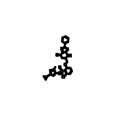 Cn1nc(C2CC2)cc1NC(=O)c1c(Cl)cccc1OCc1cc(=O)n2nc(-c3ccccc3)nc2[nH]1